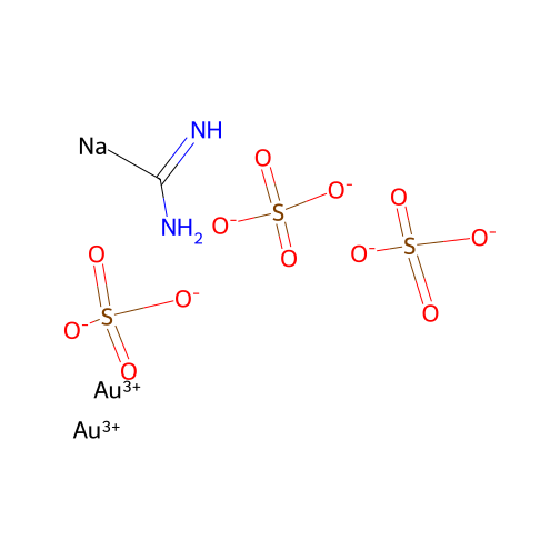 N=[C](N)[Na].O=S(=O)([O-])[O-].O=S(=O)([O-])[O-].O=S(=O)([O-])[O-].[Au+3].[Au+3]